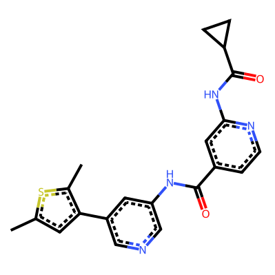 Cc1cc(-c2cncc(NC(=O)c3ccnc(NC(=O)C4CC4)c3)c2)c(C)s1